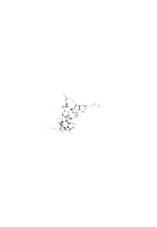 CCC1=C[C@H]2CN(C1)Cc1c([nH]c3ccc(SCCCO)cc13)[C@@](C(=O)OC)(C1C=C3C(=CC1OC)N(C)[C@H]1[C@@](O)(C(=O)OC)[C@H](OC(C)=O)[C@]4(CC)C=CCN5CC[C@]31[C@@H]54)C2